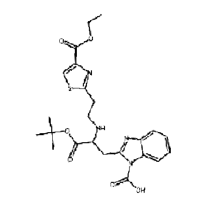 CCOC(=O)c1csc(CCNC(Cc2nc3ccccc3n2C(=O)O)C(=O)OC(C)(C)C)n1